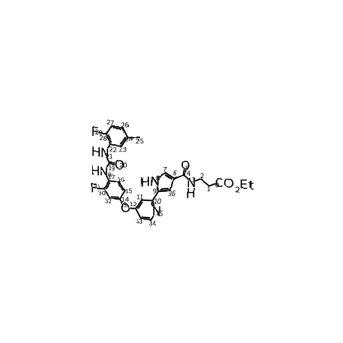 CCOC(=O)CCNC(=O)c1c[nH]c(-c2cc(Oc3ccc(NC(=O)Nc4cc(C)ccc4F)c(F)c3)ccn2)c1